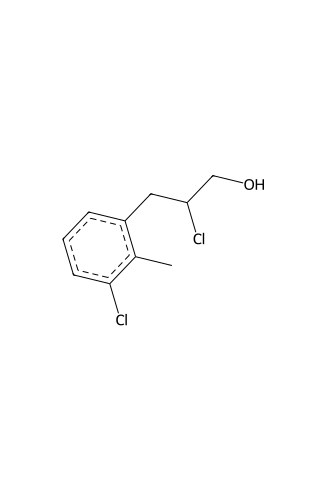 Cc1c(Cl)cccc1CC(Cl)CO